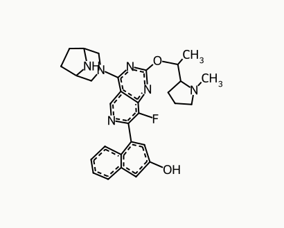 CC(Oc1nc(N2CC3CCC(C2)N3)c2cnc(-c3cc(O)cc4ccccc34)c(F)c2n1)C1CCCN1C